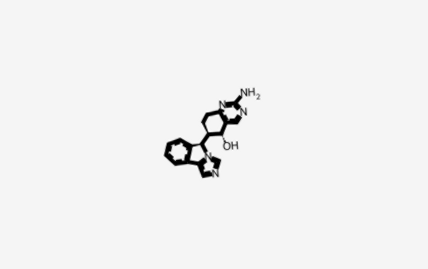 Nc1ncc2c(n1)CC[C@H]([C@@H]1c3ccccc3-c3cncn31)[C@H]2O